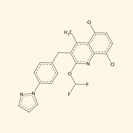 Cc1c(Cc2ccc(-n3cccn3)cc2)c(OC(F)F)nc2c(Cl)ccc([O])c12